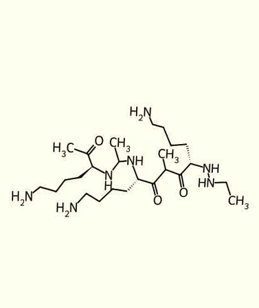 CCNN[C@@H](CCCCN)C(=O)C(C)C(=O)[C@H](CCCCN)NC(C)N[C@@H](CCCCN)C(C)=O